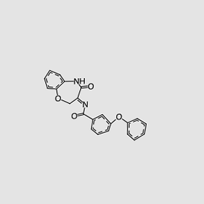 O=C1Nc2ccccc2OC/C1=N\C(=O)c1cccc(Oc2ccccc2)c1